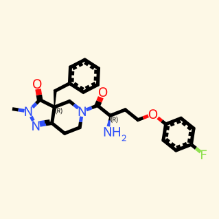 CN1N=C2CCN(C(=O)[C@H](N)CCOc3ccc(F)cc3)C[C@@]2(Cc2ccccc2)C1=O